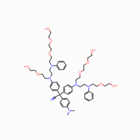 CN(C)c1ccc(C(C#N)(c2ccc(N(CCOCCO)CCN(CCOCCOCCO)c3ccccc3)cc2)c2ccc(N(CCOCCOCCO)CCN(CCOCCO)c3ccccc3)cc2)cc1